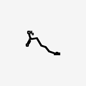 CCCCCCCC[P](C)=O